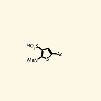 CNc1sc(C(C)=O)cc1S(=O)(=O)O